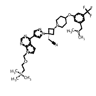 CN(C)Cc1cc(OC2CCN([C@H]3C[C@@](CC#N)(n4cc(-c5ncnc6c5ccn6COCC[Si](C)(C)C)cn4)C3)CC2)cc(C(F)(F)F)c1